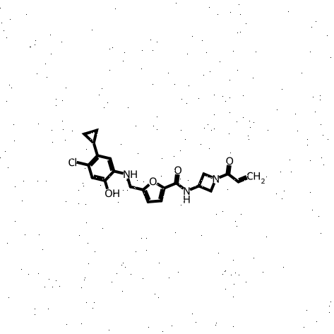 C=CC(=O)N1CC(NC(=O)c2ccc(CNc3cc(C4CC4)c(Cl)cc3O)o2)C1